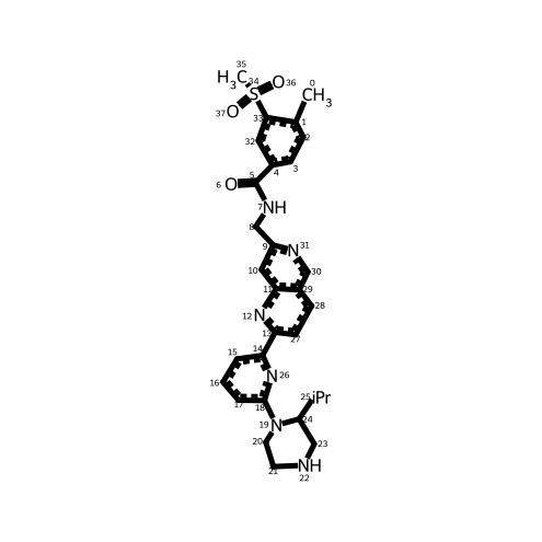 Cc1ccc(C(=O)NCc2cc3nc(-c4cccc(N5CCNCC5C(C)C)n4)ccc3cn2)cc1S(C)(=O)=O